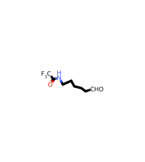 O=CCCCCCNC(=O)C(F)(F)F